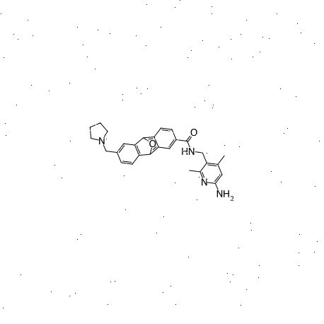 Cc1cc(N)nc(C)c1CNC(=O)c1ccc2c(c1)c1oc2c2cc(CN3CCCC3)ccc21